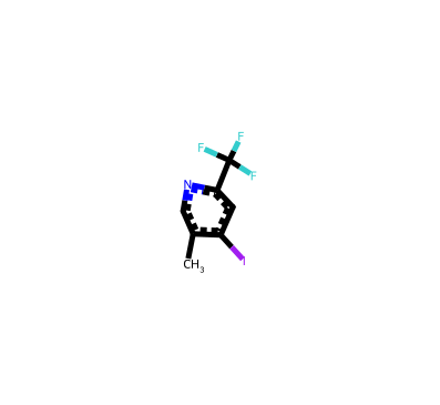 Cc1cnc(C(F)(F)F)cc1I